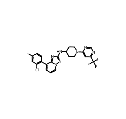 Fc1ccc(-c2cccn3nc(NC4CCN(c5cc(C(F)(F)F)ncn5)CC4)nc23)c(Cl)c1